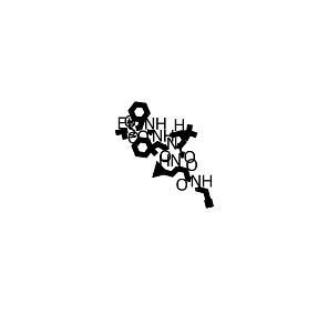 C#CCCNC(=O)C(=O)C(CC1CC1)NC(=O)[C@@H]1C2[C@H](CN1C(=O)[C@@H](NC(=O)NC1(CS(=O)(=O)C(C)(C)CC)CCCCC1)C1(C)CCCCC1)C2(C)C